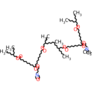 CCCCCC(CCCCC)CCOC(=O)CCCCCCCCC1(CCCCCCCCC(=O)OCCC(CCCCC)CCCC(C)CCCCC(CCCC)CCOC(=O)CCCCCCCCCC2(CCCCCCCCCC(=O)OCCC(CCCC)CCCC)OCC(CCN3CCOCC3)O2)OCC(CN(CC)CC)O1